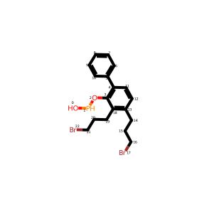 OPOc1c(-c2ccccc2)ccc(CCCBr)c1CCCBr